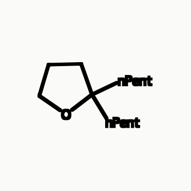 CCCCCC1(CCCCC)CCCO1